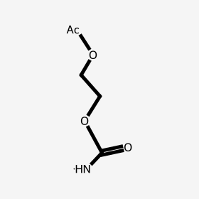 CC(=O)OCCOC([NH])=O